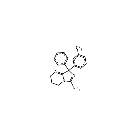 NC1=NC(c2ccccc2)(c2cccc(C(F)(F)F)c2)C2=NCCCN12